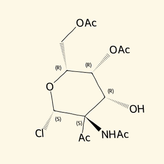 CC(=O)N[C@@]1(C(C)=O)[C@H](Cl)O[C@H](COC(C)=O)[C@H](OC(C)=O)[C@@H]1O